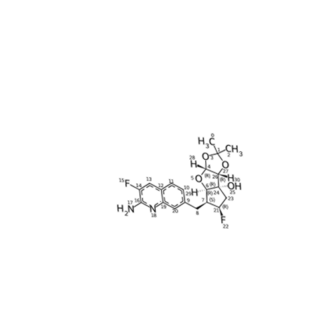 CC1(C)O[C@H]2O[C@@H]3[C@H](Cc4ccc5cc(F)c(N)nc5c4)[C@H](F)C[C@]3(O)[C@H]2O1